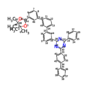 CC1(C)OB(c2cccc(-c3cccc(-c4cccc(-c5nc(-c6ccccc6)nc(-c6ccc(-c7ccccc7)cc6)n5)c4)c3)c2)OC1(C)C